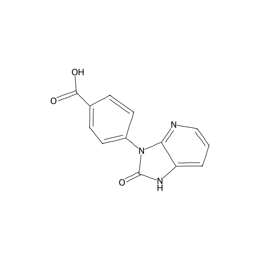 O=C(O)c1ccc(-n2c(=O)[nH]c3cccnc32)cc1